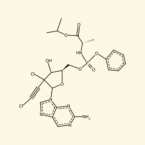 CC(C)OC(=O)[C@H](C)NP(=O)(OC[C@H]1OC(n2cnc3cnc(N)nc32)C(Cl)(C#CCl)C1O)Oc1ccccc1